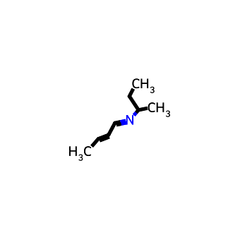 C/C=C/C=N/C(C)CC